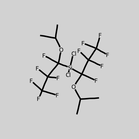 CC(C)OC(F)(C(F)(F)C(F)(F)F)[Si](Cl)(Cl)C(F)(OC(C)C)C(F)(F)C(F)(F)F